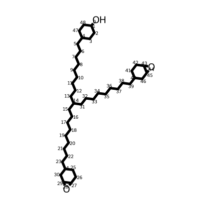 OC1CCC(CCCCCCCCCC(CCCCCCCCCC2CCC3OC3C2)CCCCCCCCCC2CCC3OC3C2)CC1